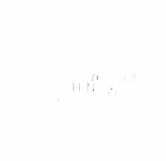 N[C@H](CC(=O)O)Cc1ccc2ccccc2c1